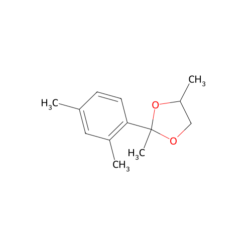 Cc1ccc(C2(C)OCC(C)O2)c(C)c1